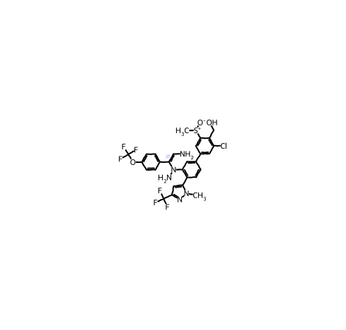 Cn1nc(C(F)(F)F)cc1-c1ccc(-c2cc(Cl)c(CO)c([S+](C)[O-])c2)cc1N(N)/C(=C\N)c1ccc(OC(F)(F)F)cc1